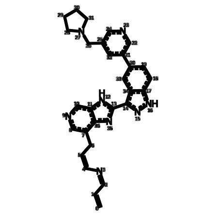 C=C/C=N\C=C/Cc1cncc2[nH]c(-c3n[nH]c4ccc(-c5cncc(CN6CCCC6)c5)cc34)nc12